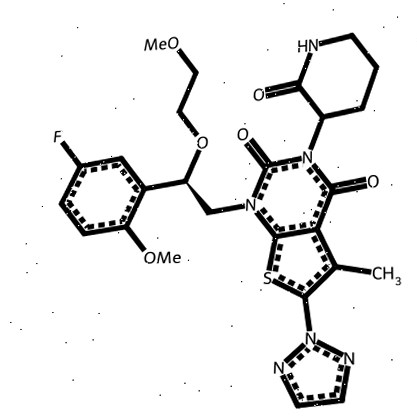 COCCO[C@@H](Cn1c(=O)n(C2CCCNC2=O)c(=O)c2c(C)c(-n3nccn3)sc21)c1cc(F)ccc1OC